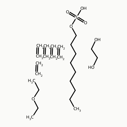 C=C.C=C.C=C.C=C.C=C.CCCCCCCCCOS(=O)(=O)O.CCOCC.OCCO